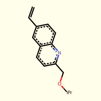 C=Cc1ccc2nc(COC(C)C)ccc2c1